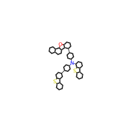 c1ccc2c(c1)ccc1c2oc2cccc(-c3ccc(N(c4ccc(-c5ccc6sc7ccccc7c6c5)cc4)c4cccc5c4sc4ccccc45)cc3)c21